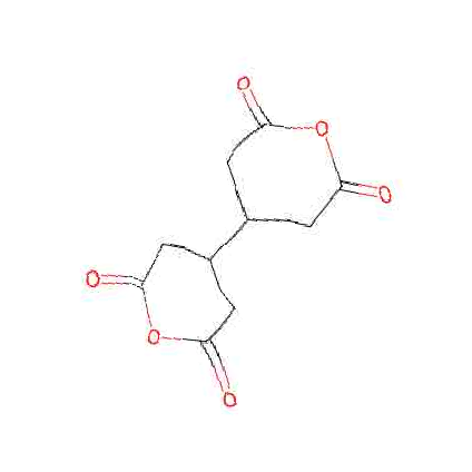 O=C1CC(C2CC(=O)OC(=O)C2)CC(=O)O1